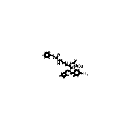 CC(C)(C)OC(=O)NC(CCCCNC(=O)OCc1ccccc1)C(=O)N(Cc1ccc(N)cc1)Cc1cccs1